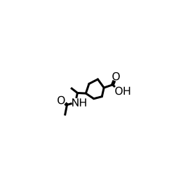 CC(=O)NC(C)C1CCC(C(=O)O)CC1